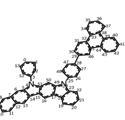 c1ccc(-n2c3cc4ccccc4cc3c3cc4c5ccccc5n(-c5ccc(-c6ccc7c8ccccc8c8ccccc8c7c6)cc5)c4cc32)cc1